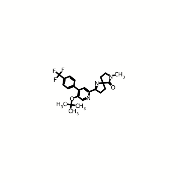 CN1CCC2(CCC(c3cc(-c4ccc(C(F)(F)F)cc4)c(OC(C)(C)C)cn3)=N2)C1=O